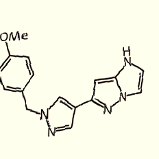 COc1ccc(Cn2cc(-c3cc4[nH]ccn4n3)cn2)cc1